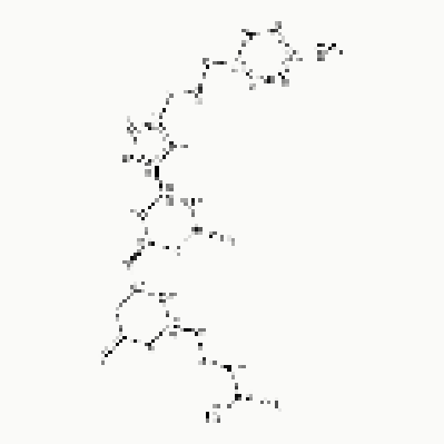 C=C1C[C@H](C[C@@H]2CC(=O)O[C@H](c3coc(COCc4ccc(OC)cc4)n3)O2)O[C@@H](CCOB(P)S)C1